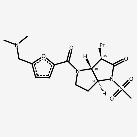 CC(C)[C@H]1C(=O)N(S(C)(=O)=O)[C@H]2CCN(C(=O)c3ccc(CN(C)C)o3)[C@H]12